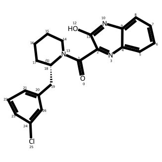 O=C(c1nc2ccccc2nc1O)N1CCCC[C@H]1Cc1cccc(Cl)c1